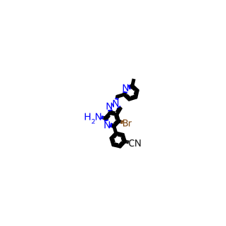 Cc1cccc(Cn2cc3c(Br)c(-c4cccc(C#N)c4)nc(N)c3n2)n1